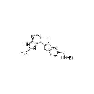 CCNCc1ccc2cc(-c3ccnc4[nH]c(C)nc34)[nH]c2c1